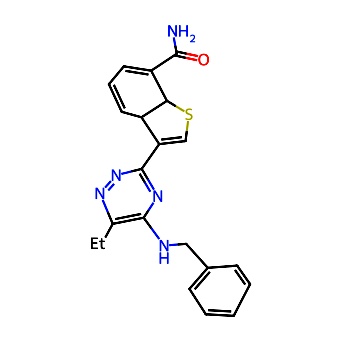 CCc1nnc(C2=CSC3C(C(N)=O)=CC=CC23)nc1NCc1ccccc1